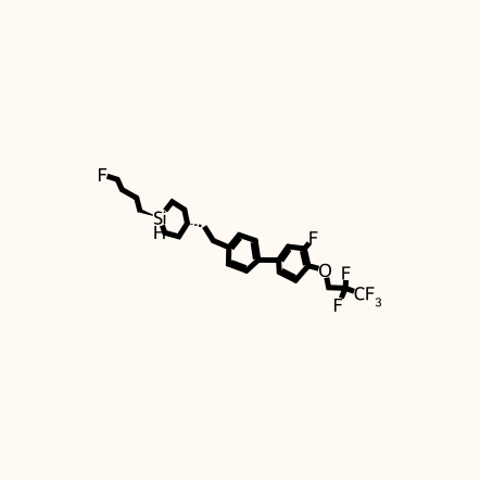 FCCCC[Si@H]1CC[C@H](CCc2ccc(-c3ccc(OCC(F)(F)C(F)(F)F)c(F)c3)cc2)CC1